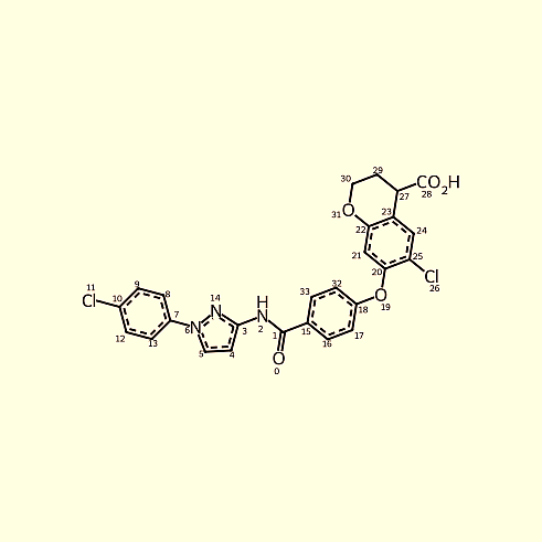 O=C(Nc1ccn(-c2ccc(Cl)cc2)n1)c1ccc(Oc2cc3c(cc2Cl)C(C(=O)O)CCO3)cc1